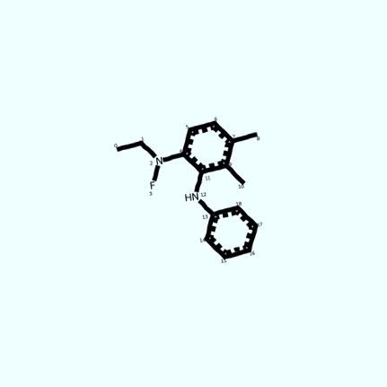 CCN(F)c1ccc(C)c(C)c1Nc1ccccc1